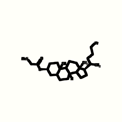 CSCC(=O)O[C@H]1CC[C@@]2(C)C(CC[C@@H]3C2CC[C@@]2(C)C3CC[C@@H]2C(C)CCCC(C)C)C1